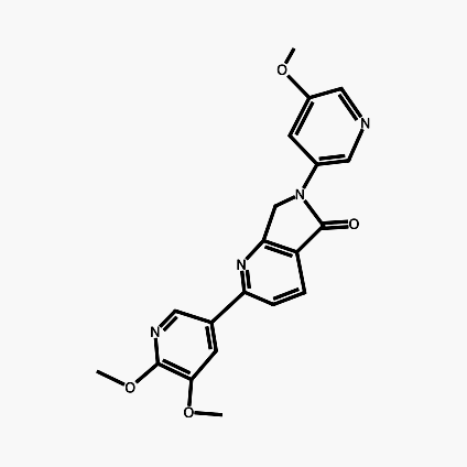 COc1cncc(N2Cc3nc(-c4cnc(OC)c(OC)c4)ccc3C2=O)c1